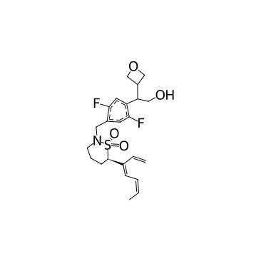 C=C/C(=C\C=C/C)[C@H]1CCCN(Cc2cc(F)c(C(CO)C3COC3)cc2F)S1(=O)=O